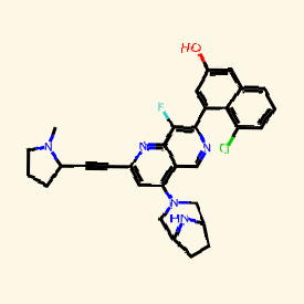 CN1CCCC1C#Cc1cc(N2CC3CCC(C2)N3)c2cnc(-c3cc(O)cc4cccc(Cl)c34)c(F)c2n1